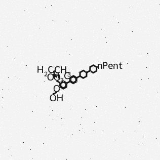 C=C(C)C(=O)OCc1cc(-c2ccc(C3CCC(C4CCC(CCCCC)CC4)CC3)cc2C)ccc1OCCO